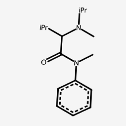 CC(C)C(C(=O)N(C)c1ccccc1)N(C)C(C)C